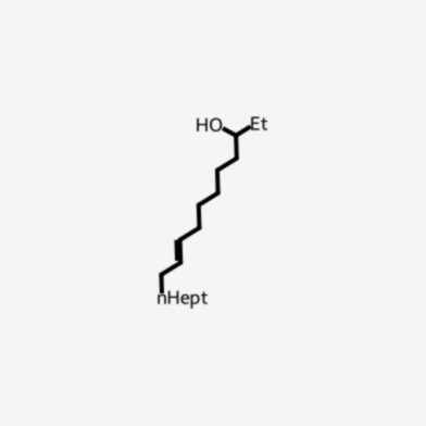 CCCCCCCCC=CCCCCCC(O)CC